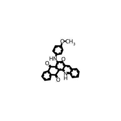 COc1ccc(Nc2c3c(c4[nH]c5ccccc5cc-4c2=O)C(=O)c2ccccc2C3=O)cc1